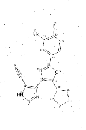 N#Cc1[nH]nnc1-c1nc(-c2ccc(F)c(Cl)c2)oc1C1CCCC1